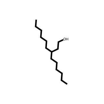 CCCCCCC(CCO)CCCCCC